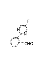 O=Cc1ccccc1-c1ncc(F)cn1